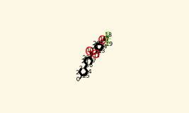 C[C@H]1CC[C@H]([C@H]2CC[C@H](C(=O)Oc3ccc(OC(F)F)cc3)CC2)CC1